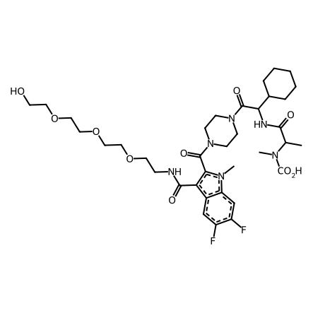 CC(C(=O)NC(C(=O)N1CCN(C(=O)c2c(C(=O)NCCOCCOCCOCCO)c3cc(F)c(F)cc3n2C)CC1)C1CCCCC1)N(C)C(=O)O